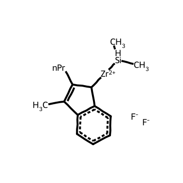 CCCC1=C(C)c2ccccc2[CH]1[Zr+2][SiH](C)C.[F-].[F-]